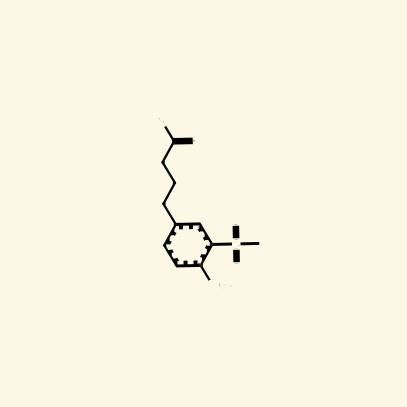 COc1ccc(CCCC(N)=O)cc1S(C)(=O)=O